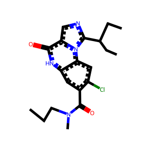 CCCN(C)C(=O)c1cc2[nH]c(=O)c3cnc(C(CC)CC)n3c2cc1Cl